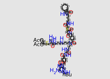 CCCCNc1nc(N)c2nc(O)n(Cc3ccc(C(=O)NCC(=O)NCCCN(CCCCNCCCNC(=O)C(N)CSCC(COC(C)=O)OC(C)=O)C(=O)C4CCC(CN5C(=O)CC(SCC(=O)NCCCCC6NC7C8CCCCCCC(C8)C7C6=O)C5=O)CC4)cc3)c2n1